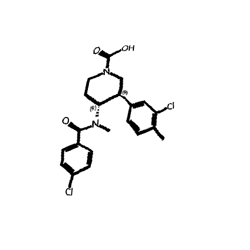 Cc1ccc([C@@H]2CN(C(=O)O)CC[C@H]2N(C)C(=O)c2ccc(Cl)cc2)cc1Cl